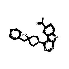 CC(=O)c1ccc2[nH]c3ncnc(N4CCC(O)(Cc5ccccc5)CC4)c3c2c1